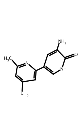 Cc1cc(C)nc(-c2c[nH]c(=O)c(N)c2)c1